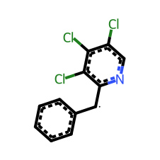 Clc1cnc([CH]c2ccccc2)c(Cl)c1Cl